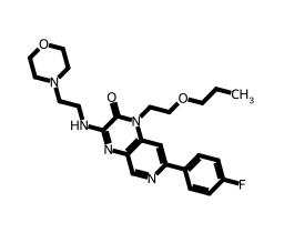 CCCOCCn1c(=O)c(NCCN2CCOCC2)nc2cnc(-c3ccc(F)cc3)cc21